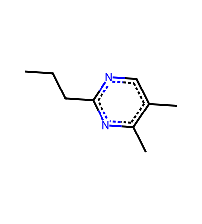 CCCc1ncc(C)c(C)n1